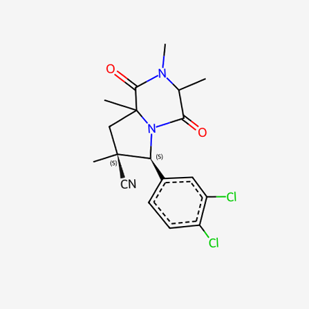 CC1C(=O)N2[C@@H](c3ccc(Cl)c(Cl)c3)[C@@](C)(C#N)CC2(C)C(=O)N1C